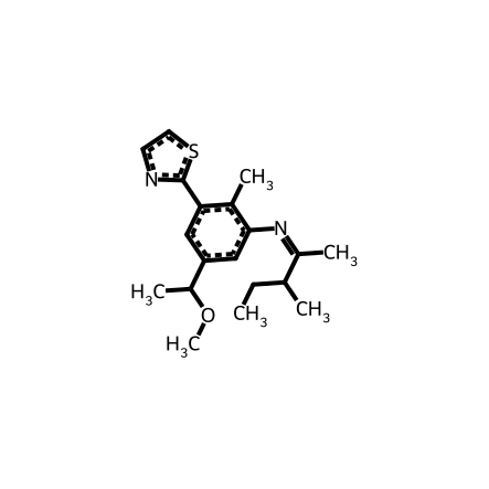 CCC(C)/C(C)=N\c1cc(C(C)OC)cc(-c2nccs2)c1C